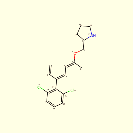 C=C/C(=C\C=C(/C)OCC1CCCN1)c1c(Cl)cccc1Cl